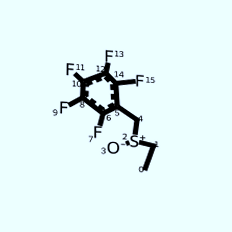 CC[S+]([O-])Cc1c(F)c(F)c(F)c(F)c1F